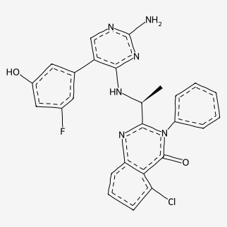 C[C@H](Nc1nc(N)ncc1-c1cc(O)cc(F)c1)c1nc2cccc(Cl)c2c(=O)n1-c1ccccc1